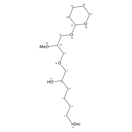 CCCCCCCCCCCCCCC(O)COCC(COC1CCCCO1)OC